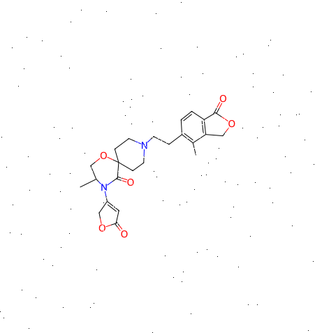 Cc1c(CCN2CCC3(CC2)OCC(C)N(C2=CC(=O)OC2)C3=O)ccc2c1COC2=O